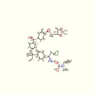 CCCCN(CCCC)C(=O)O/N=C(\CCl)c1ccc2c(c1)-c1cc(C(=O)c3ccc(OCC4COC(C)(C)O4)cc3)ccc1C2(C)C